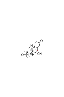 C[C@]12CC[C@H]3[C@@H](CC=C4CC(=O)CCC43CCC#N)[C@@H]1CCC2=O